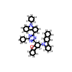 c1ccc(-c2nc(-c3cc(-n4c5ccccc5c5cc6ccccc6cc54)cc4c3oc3ccccc34)nc(-c3cccc4c3c3ccccc3n4-c3ccccc3)n2)cc1